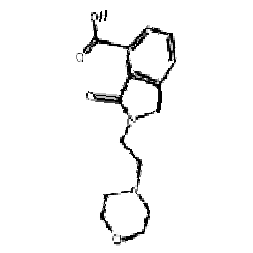 O=C(O)c1cccc2c1C(=O)N(CCN1CCOCC1)C2